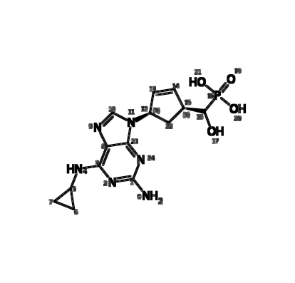 Nc1nc(NC2CC2)c2ncn([C@H]3C=C[C@@H](C(O)P(=O)(O)O)C3)c2n1